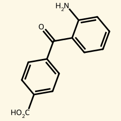 Nc1ccccc1C(=O)c1ccc(C(=O)O)cc1